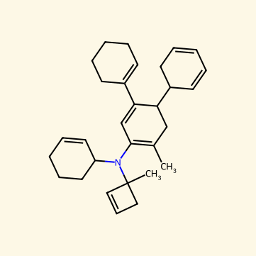 CC1=C(N(C2C=CCCC2)C2(C)C=CC2)C=C(C2=CCCCC2)C(C2C=CC=CC2)C1